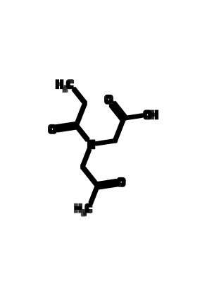 CCC(=O)N(CC(C)=O)CC(=O)O